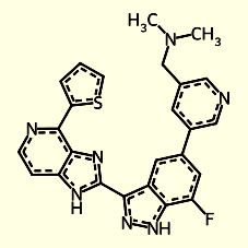 CN(C)Cc1cncc(-c2cc(F)c3[nH]nc(-c4nc5c(-c6cccs6)nccc5[nH]4)c3c2)c1